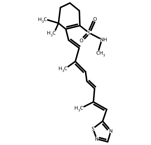 CNS(=O)(=O)C1=C(/C=C/C(C)=C/C=C/C(C)=C/c2ncns2)C(C)(C)CCC1